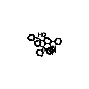 Oc1cc(-c2ccccc2)c(-c2nnn[nH]2)c(C(c2ccccc2)(c2ccccc2)c2ccccc2)c1CCc1ccccc1